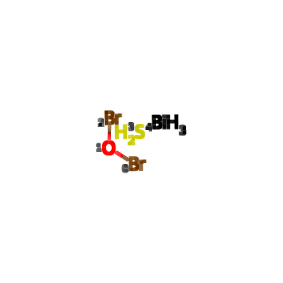 BrOBr.S.[BiH3]